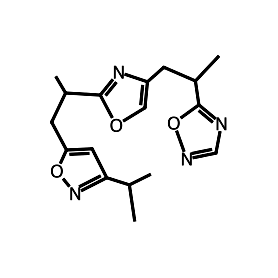 CC(C)c1cc(CC(C)c2nc(CC(C)c3ncno3)co2)on1